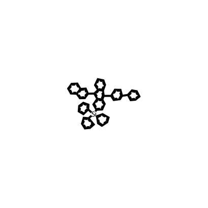 c1ccc(-c2ccc(-c3c4ccccc4c(-c4ccc5ccccc5c4)c4cc([Si](c5ccccc5)(c5ccccc5)c5ccccc5)ccc34)cc2)cc1